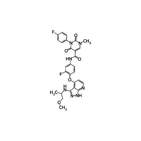 COCC(C)Nc1n[nH]c2nccc(Oc3ccc(NC(=O)c4cn(C)c(=O)n(-c5ccc(F)cc5)c4=O)cc3F)c12